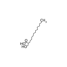 CCCCCCCCCCCCCCC(CO)C(=O)O